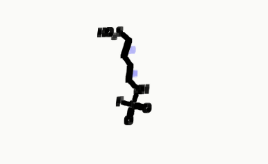 O=S(=O)(O)/C=C/C=C/NS(=O)(=O)F